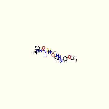 CC(/C=N/SNC(=O)Nc1ccccc1C(C)C)Oc1ccc(N(C)c2ccc(OC(F)(F)F)cc2)nn1